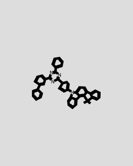 CC1(C)c2ccccc2-c2ccc3c(c21)c1ccccc1n3C1=CCC(c2nc(-c3ccccc3)nc(-c3cccc(-c4ccccc4)c3)n2)C=C1